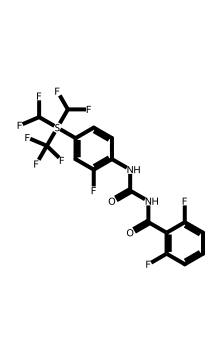 O=C(NC(=O)c1c(F)cccc1F)Nc1ccc(S(C(F)F)(C(F)F)C(F)(F)F)cc1F